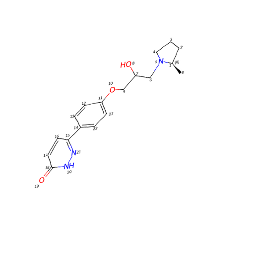 C[C@@H]1CCCN1CC(O)COc1ccc(-c2ccc(=O)[nH]n2)cc1